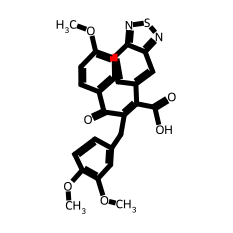 COc1ccc(C(=O)/C(Cc2ccc(OC)c(OC)c2)=C(/C(=O)O)c2ccc3nsnc3c2)cc1